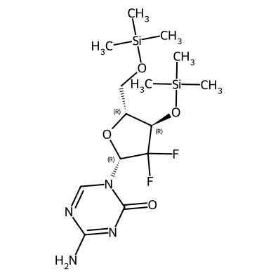 C[Si](C)(C)OC[C@H]1O[C@@H](n2cnc(N)nc2=O)C(F)(F)[C@@H]1O[Si](C)(C)C